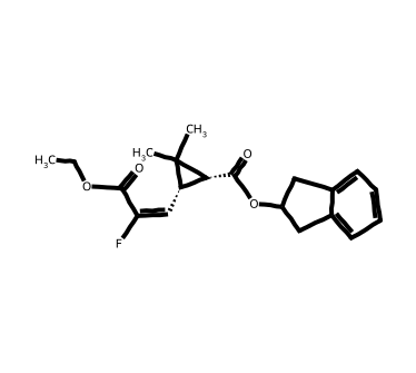 CCOC(=O)/C(F)=C\[C@H]1[C@@H](C(=O)OC2Cc3ccccc3C2)C1(C)C